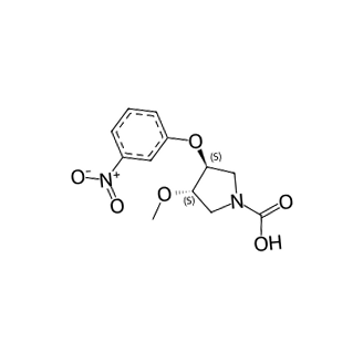 CO[C@H]1CN(C(=O)O)C[C@@H]1Oc1cccc([N+](=O)[O-])c1